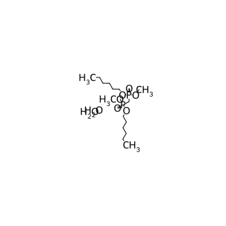 CCCCCCOP(=O)(CP(=O)(OC)OCCCCCC)OC.O.O